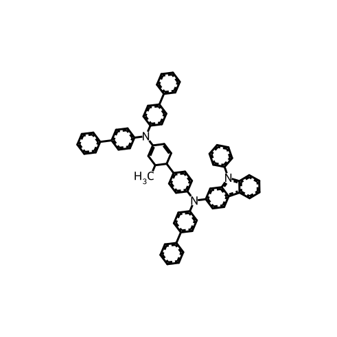 CC1C=C(N(c2ccc(-c3ccccc3)cc2)c2ccc(-c3ccccc3)cc2)C=CC1c1ccc(N(c2ccc(-c3ccccc3)cc2)c2ccc3c4ccccc4n(-c4ccccc4)c3c2)cc1